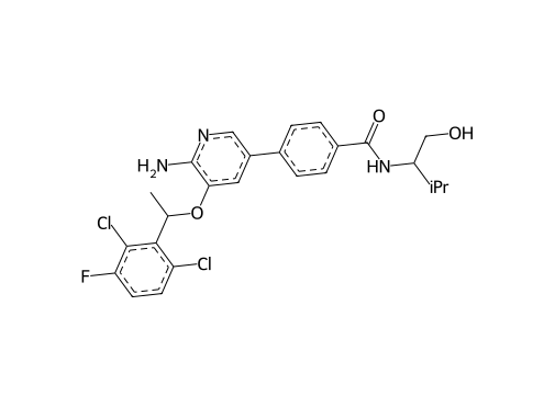 CC(Oc1cc(-c2ccc(C(=O)NC(CO)C(C)C)cc2)cnc1N)c1c(Cl)ccc(F)c1Cl